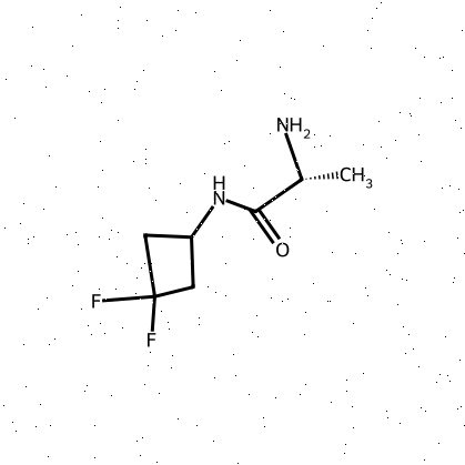 C[C@@H](N)C(=O)NC1CC(F)(F)C1